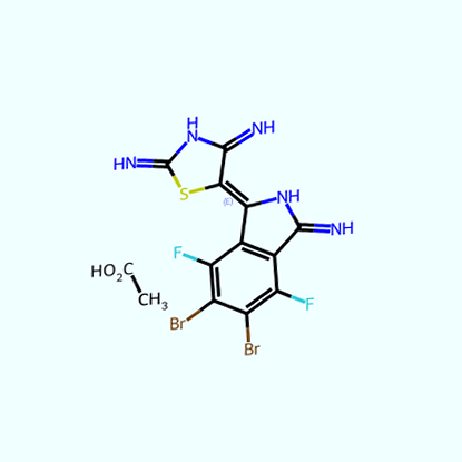 CC(=O)O.N=C1NC(=N)/C(=C2\NC(=N)c3c(F)c(Br)c(Br)c(F)c32)S1